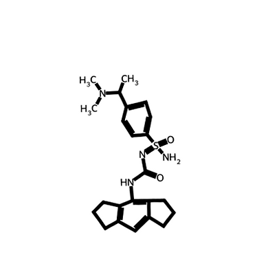 CC(c1ccc(S(N)(=O)=NC(=O)Nc2c3c(cc4c2CCC4)CCC3)cc1)N(C)C